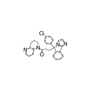 O=C(CCC1(c2ccc(Cl)cc2)c2ccccc2-c2nccn21)N1CCCc2ncccc21